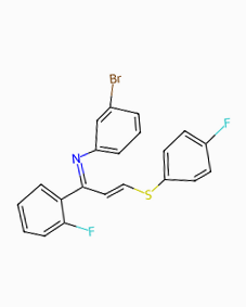 Fc1ccc(SC=CC(=Nc2cccc(Br)c2)c2ccccc2F)cc1